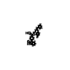 Cl.O=C(OCCCN(Cc1ccccc1)Cc1ccc(F)cc1)N1CCC(n2c(=O)[nH]c3ccccc32)CC1